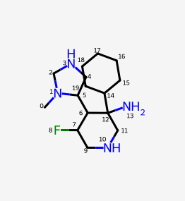 CN1CNCC1C1C(F)CNCC1(N)C1CCCCC1